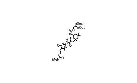 CCCCCCCCCCC(CCCCCCCC)COC(=O)NC1CC(C)(C)CC(C)(CNC(=O)Nc2nc(=O)c(CCOC(=O)NC)c(C)[nH]2)C1